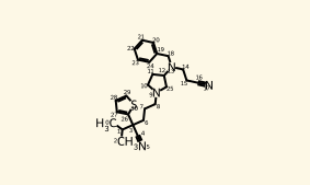 CC(C)C(C#N)(CCCN1CCC(N(CCC#N)Cc2ccccc2)C1)c1cccs1